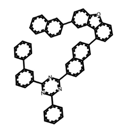 c1ccc(-c2cccc(-c3nc(-c4ccccc4)nc(-c4ccc5cc(-c6cccc7oc8ccc(-c9ccc%10ccccc%10c9)cc8c67)ccc5c4)n3)c2)cc1